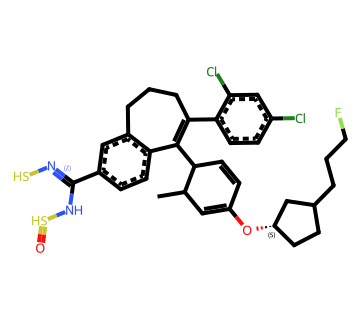 CC1C=C(O[C@H]2CCC(CCCF)C2)C=CC1C1=C(c2ccc(Cl)cc2Cl)CCCc2cc(/C(=N/S)N[SH]=O)ccc21